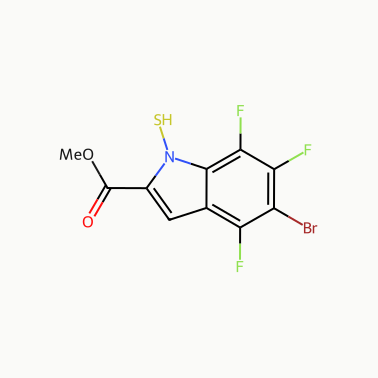 COC(=O)c1cc2c(F)c(Br)c(F)c(F)c2n1S